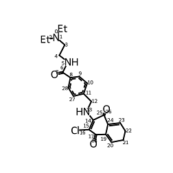 CCN(CC)CCNC(=O)c1ccc(CNC2=C(Cl)C(=O)C3=CCCC=C3C2=O)cc1